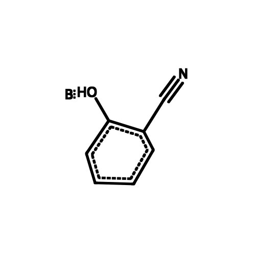 N#Cc1ccccc1O.[B]